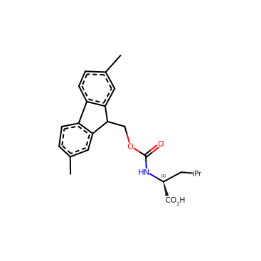 Cc1ccc2c(c1)C(COC(=O)N[C@@H](CC(C)C)C(=O)O)c1cc(C)ccc1-2